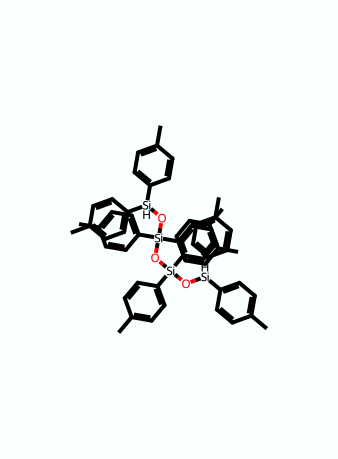 Cc1ccc([SiH](O[Si](O[Si](O[SiH](c2ccc(C)cc2)c2ccc(C)cc2)(c2ccc(C)cc2)c2ccc(C)cc2)(c2ccc(C)cc2)c2ccc(C)cc2)c2ccc(C)cc2)cc1